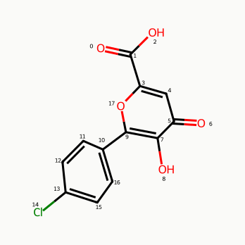 O=C(O)c1cc(=O)c(O)c(-c2ccc(Cl)cc2)o1